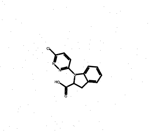 O=C(O)C1Cc2ccccc2N1c1ccc(Cl)nn1